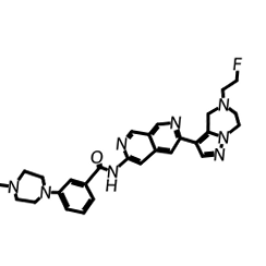 CN1CCN(c2cccc(C(=O)Nc3cc4cc(-c5cnn6c5CN(CCF)CC6)ncc4cn3)c2)CC1